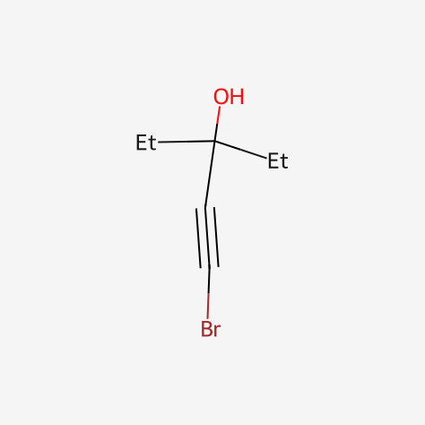 CCC(O)(C#CBr)CC